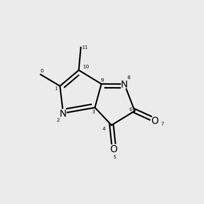 Cc1nc2c(=O)c(=O)nc-2c1C